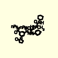 CCCN(CCC)C(=O)c1cc(C(=O)N[C@@H](Cc2ccccc2)[C@H](O)CN[C@@H](C)C(=O)NC2CCCCC2)cc(N2CCCC2=O)c1